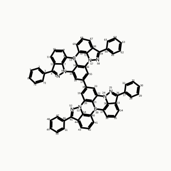 c1ccc(-c2nn3c4c(cccc24)B2c4c-3cc(-c3cc5c6c(c3)-n3nc(-c7ccccc7)c7cccc(c73)B6c3cccc6c(-c7ccccc7)nn-5c36)cc4-n3nc(-c4ccccc4)c4cccc2c43)cc1